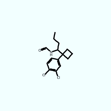 CCCC(NC=O)C1(c2ccc(Cl)c(Cl)c2)CCC1